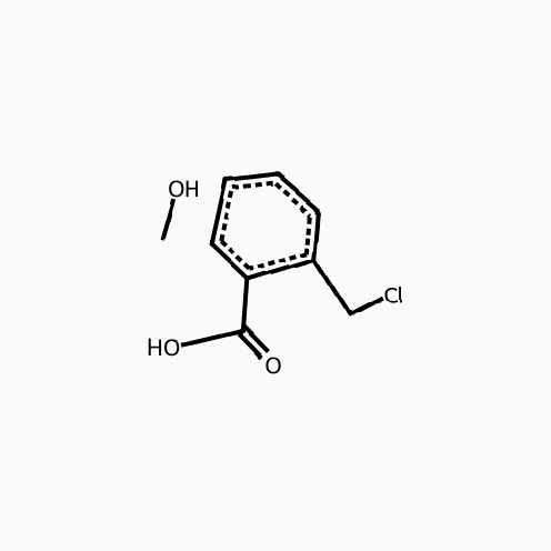 CO.O=C(O)c1ccccc1CCl